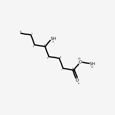 CCCC(S)CCCC(=O)OS